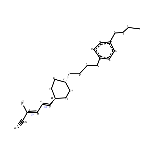 CCCCc1ccc(CCCC[C@H]2CC[C@H](/C=C/C=C(\F)C#N)CC2)cc1